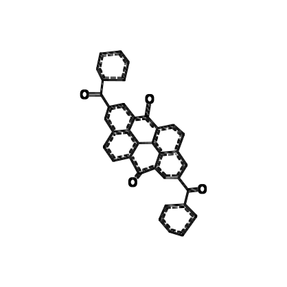 O=C(c1ccccc1)c1cc2ccc3c4c2c(c1)c(=O)c1ccc2cc(C(=O)c5ccccc5)cc(c3=O)c2c1-4